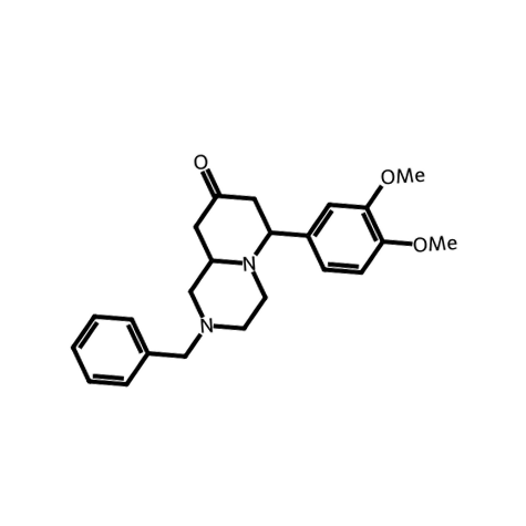 COc1ccc(C2CC(=O)CC3CN(Cc4ccccc4)CCN32)cc1OC